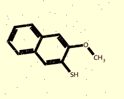 COc1cc2ccccc2cc1S